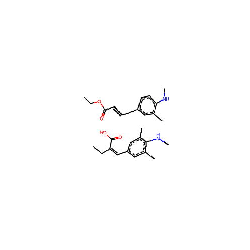 CCC(=Cc1cc(C)c(NC)c(C)c1)C(=O)O.CCOC(=O)C=Cc1ccc(NC)c(C)c1